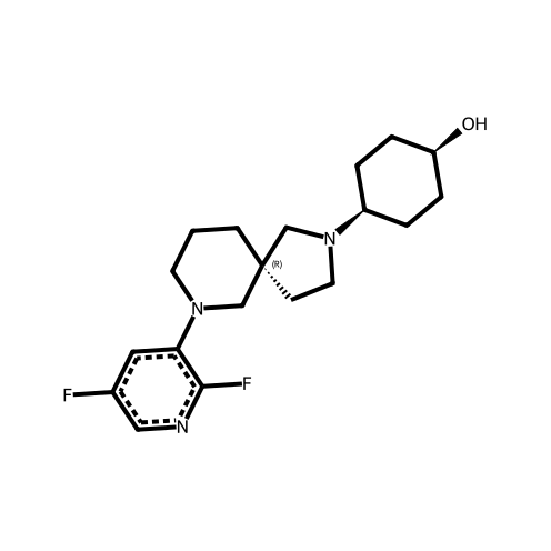 O[C@H]1CC[C@@H](N2CC[C@]3(CCCN(c4cc(F)cnc4F)C3)C2)CC1